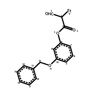 CCC(C=O)C(=O)Oc1cccc(OCc2ccccc2)c1